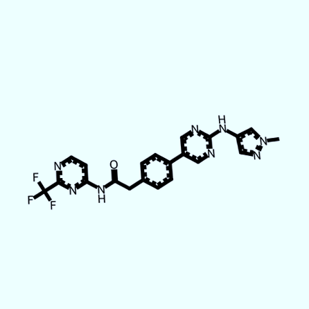 Cn1cc(Nc2ncc(-c3ccc(CC(=O)Nc4ccnc(C(F)(F)F)n4)cc3)cn2)cn1